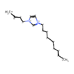 CCCCCCCCCN1C=CN(CCCC)C1